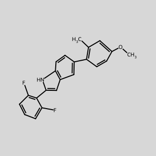 COc1ccc(-c2ccc3[nH]c(-c4c(F)cccc4F)cc3c2)c(C)c1